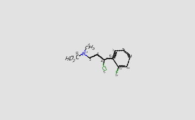 CN(CCC(Cl)c1ccccc1F)C(=O)O